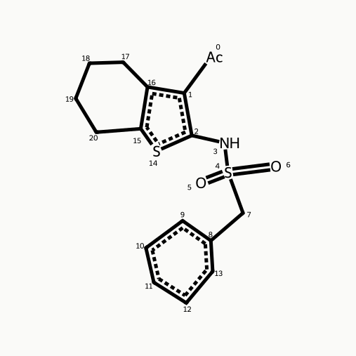 CC(=O)c1c(NS(=O)(=O)Cc2ccccc2)sc2c1CCCC2